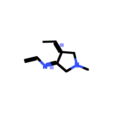 C=C/N=C1/CN(C)C/C1=C/C